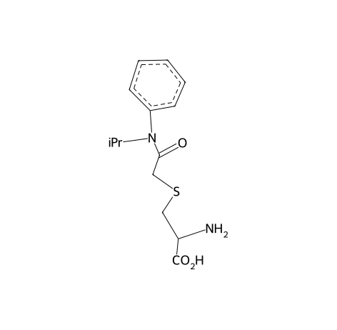 CC(C)N(C(=O)CSCC(N)C(=O)O)c1ccccc1